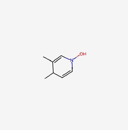 CC1=CN(O)C=CC1C